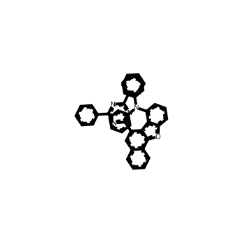 c1ccc(-c2nc(-c3ccccc3)nc(-c3cc4ccccc4c4oc5cccc(N(c6ccccc6)c6ccccc6)c5c34)n2)cc1